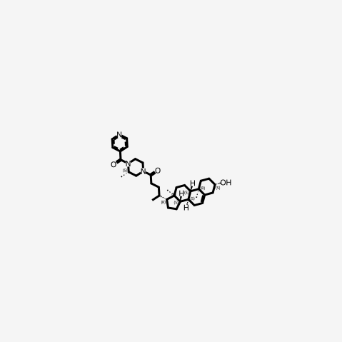 CC(CCC(=O)N1CCN(C(=O)c2ccncc2)[C@@H](C)C1)[C@H]1CC[C@H]2[C@@H]3CC=C4C[C@@H](O)CC[C@]4(C)[C@H]3CC[C@]12C